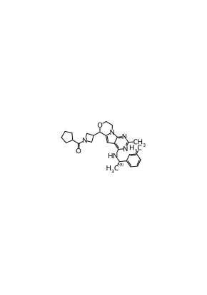 Cc1cccc([C@@H](C)Nc2nc(C)nc3c2cc2n3CCOC2C2CN(C(=O)C3CCCC3)C2)c1